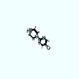 [O]c1cnc(N2CCNCC2)nc1